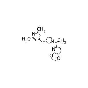 Cc1cc(CC2CCN(C(C)c3ccc4c(n3)OCCO4)C2)cc(C)n1